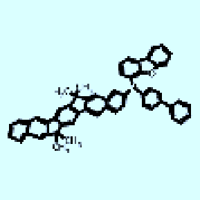 CC1(C)c2cc3c(cc2-c2cc4ccccc4cc21)C(C)(C)c1cc2cc(N(c4ccc(-c5ccccc5)cc4)c4cccc5c4oc4ccccc45)ccc2cc1-3